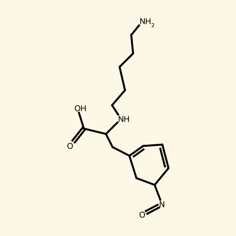 NCCCCCNC(CC1=CC=CC(N=O)C1)C(=O)O